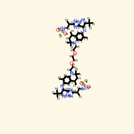 Cc1cc2c(cc1/N=C1/C(C(C)(C)C)=Nn3nc(C(C)CNS(C)(=O)=O)nc31)C(C)CC(C)(C)N2CCOCCOCCN1c2cc(C)c(/N=C3/C(C(C)(C)C)=Nn4nc(C(C)CNS(C)(=O)=O)nc43)cc2C(C)CC1(C)C